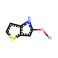 CCOc1cc2sccc2[nH]1